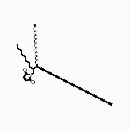 C#CC#CC#CC#CC#CC#CC#CC#CC#CC#CC(=C=C=C=C=C=C=C=C=C=C)C(CCCCCCCC)CN1C(=O)C=CC1=O